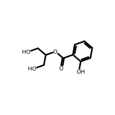 O=C(OC(CO)CO)c1ccccc1O